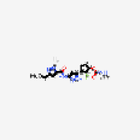 COCc1cc(C(=O)Nc2cc([C@H]3CC[C@@H](OC(=O)NC(C)C)[C@@H]3F)[nH]n2)n(C)n1